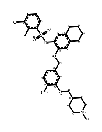 Cc1c(Cl)cccc1S(=O)(=O)Nc1nc2c(cc1OCc1ccc(Cl)c(OCC3CCN(C)CC3)c1)CCCC2